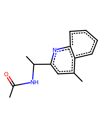 CC(=O)NC(C)c1cc(C)c2ccccc2n1